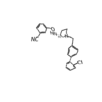 N#Cc1cccc(ON[C@@H]2CCN(Cc3ccc(-c4ccccc4Cl)cc3)C2)c1